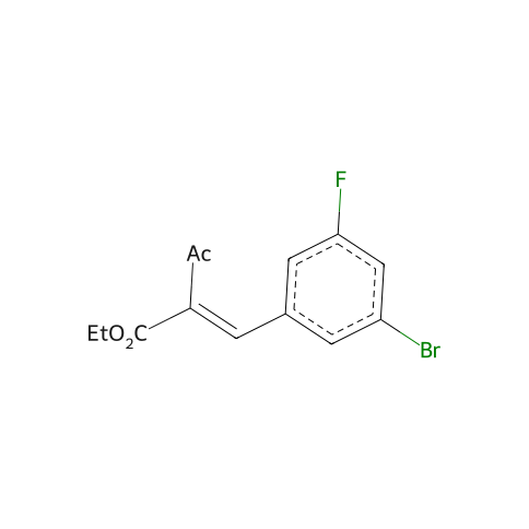 CCOC(=O)C(=Cc1cc(F)cc(Br)c1)C(C)=O